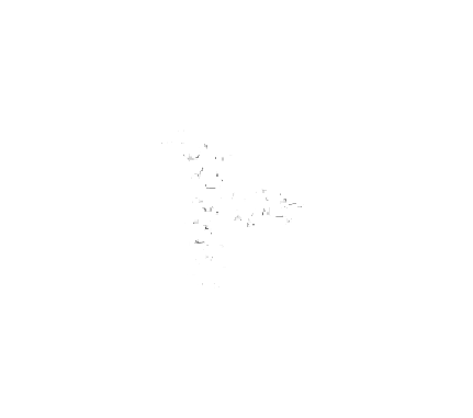 CCC[C@H](NC(=O)[C@@H]1C[C@]2(CC(n3cc(C)c(=O)[nH]c3=O)=NO2)CN1C(=O)[C@@H](NC(=O)CC1CCCCC1)C(C)(C)C)C(=O)C(=O)NC1CC1